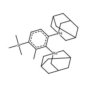 Cc1c([Si](C)(C)C)ccc([PH]23CC4CC(CC(C4)C2)C3)c1[PH]12CC3CC(CC(C3)C1)C2